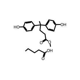 CCCCC(=O)O.COC(=O)CCC(C)(c1ccc(O)cc1)c1ccc(O)cc1